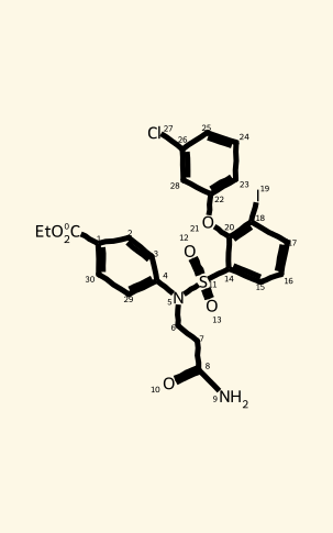 CCOC(=O)c1ccc(N(CCC(N)=O)S(=O)(=O)c2cccc(I)c2Oc2cccc(Cl)c2)cc1